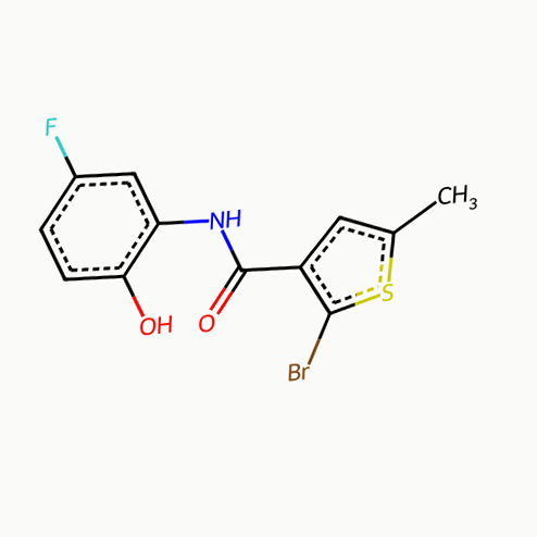 Cc1cc(C(=O)Nc2cc(F)ccc2O)c(Br)s1